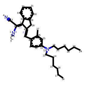 [C-]#[N+]/C(C#N)=C1\C(=C\c2ccc(N(CCCCCC)CCCCCC)cc2C)Cc2ccccc21